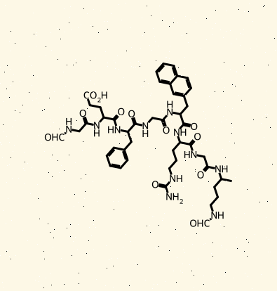 CC(CCCNC=O)NC(=O)CNC(=O)C(CCCNC(N)=O)NC(=O)C(Cc1ccc2ccccc2c1)NC(=O)CNC(=O)C(Cc1ccccc1)NC(=O)C(CCC(=O)O)NC(=O)CNC=O